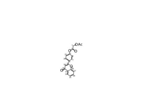 CC(=O)OCC(=O)Oc1ccc(-c2cc(=O)c3ccccc3o2)cc1